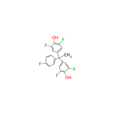 CC(c1ccc(F)cc1)(c1cc(F)c(O)c(F)c1)c1cc(F)c(O)c(F)c1